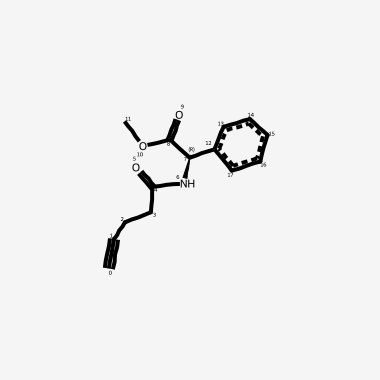 C#CCCC(=O)N[C@@H](C(=O)OC)c1ccccc1